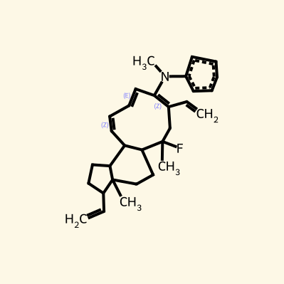 C=C/C1=C(N(C)c2ccccc2)/C=C/C=C\C2C(CCC3(C)C(C=C)CCC23)C(C)(F)C1